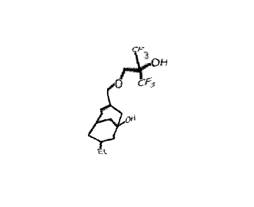 CCC1CC2CC(COCC(O)(C(F)(F)F)C(F)(F)F)CC(O)(C1)C2